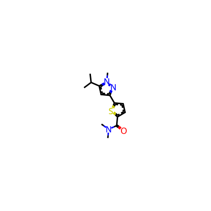 CC(C)c1cc(-c2ccc(C(=O)N(C)C)s2)nn1C